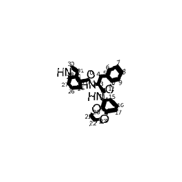 O=C(NC(Cc1ccccc1)C(=O)Nc1cccc2c1OCCO2)c1cccc2[nH]ccc12